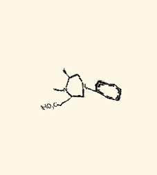 C[C@H]1CN(c2ccccc2)C[C@@H](CC(=O)O)N1C